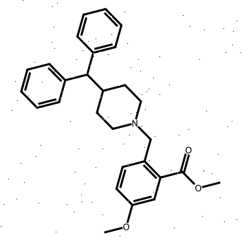 COC(=O)c1cc(OC)ccc1CN1CCC(C(c2ccccc2)c2ccccc2)CC1